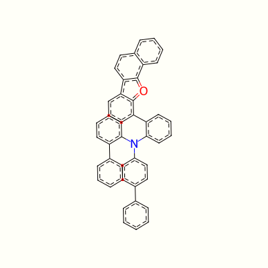 c1ccc(-c2ccc(N(c3ccccc3-c3ccccc3)c3ccccc3-c3cccc4c3oc3c5ccccc5ccc43)cc2)cc1